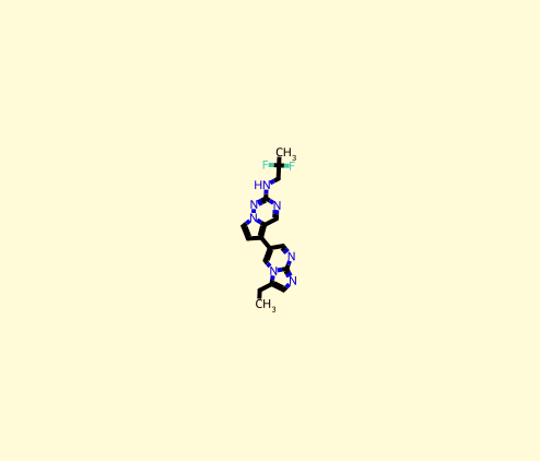 CCc1cnc2ncc(-c3ccn4nc(NCC(C)(F)F)ncc34)cn12